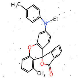 CCN(c1ccc(C)cc1)c1ccc2c(c1)Oc1cccc(C)c1C21OC(=O)c2ccccc21